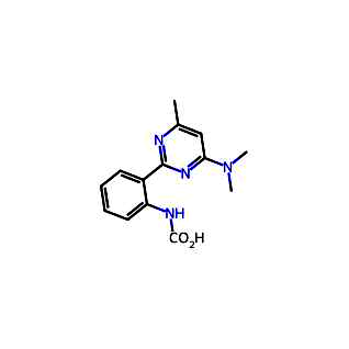 Cc1cc(N(C)C)nc(-c2ccccc2NC(=O)O)n1